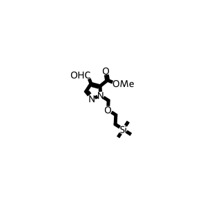 COC(=O)c1c(C=O)cnn1COCC[Si](C)(C)C